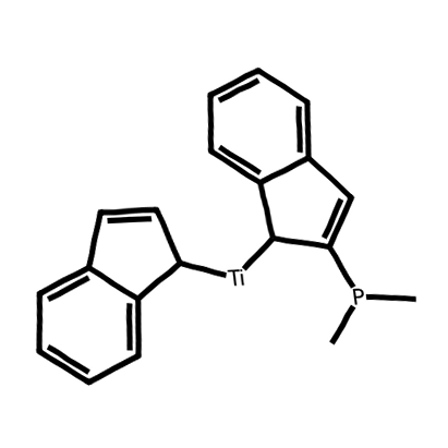 CP(C)C1=Cc2ccccc2[CH]1[Ti][CH]1C=Cc2ccccc21